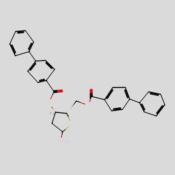 O=C(OC[C@H]1SC(O)C[C@H]1OC(=O)c1ccc(-c2ccccc2)cc1)c1ccc(-c2ccccc2)cc1